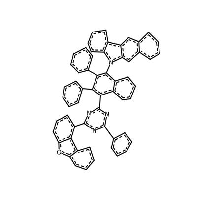 c1ccc(-c2nc(-c3c(-c4ccccc4)c(-c4ccccc4)c(-n4c5ccccc5c5cc6ccccc6cc54)c4ccccc34)nc(-c3cccc4oc5ccccc5c34)n2)cc1